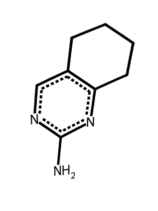 Nc1ncc2c(n1)CCCC2